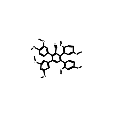 COc1cc(OC)cc(-c2[c]c(-c3ccc(OC)cc3OC)c(-c3cc(OC)ccc3OC)c(C#N)c2-c2ccc(OC)c(OC)c2)c1